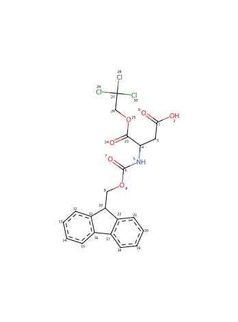 O=C(O)CC(NC(=O)OCC1c2ccccc2-c2ccccc21)C(=O)OCC(Cl)(Cl)Cl